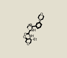 CC[C@@H]1COCC(=O)[C@H]1NC(=O)[C@H](CC(C)C)NC(=O)c1cccc(N2CCOCC2)c1